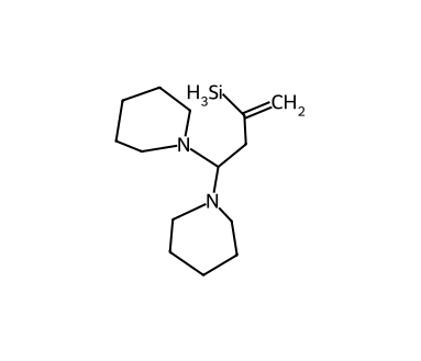 C=C([SiH3])CC(N1CCCCC1)N1CCCCC1